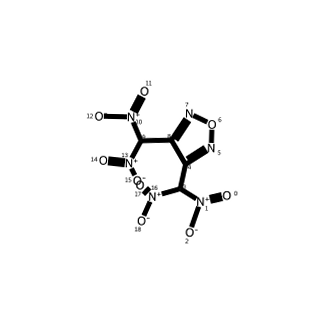 O=[N+]([O-])C(c1nonc1C([N+](=O)[O-])[N+](=O)[O-])[N+](=O)[O-]